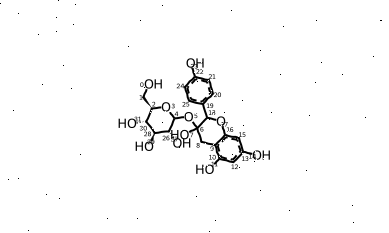 OC[C@H]1OC(OC2(O)Cc3c(O)cc(O)cc3OC2c2ccc(O)cc2)[C@H](O)[C@@H](O)[C@@H]1O